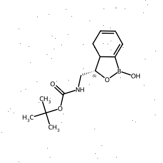 CC(C)(C)OC(=O)NC[C@H]1OB(O)C2=CC=CCC21